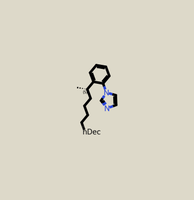 CCCCCCCCCCCCCC[C@H](C)c1ccccc1-n1ccnc1